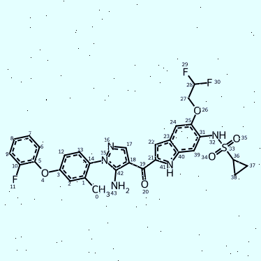 Cc1cc(Oc2ccccc2F)ccc1-n1ncc(C(=O)c2cc3cc(OCC(F)F)c(NS(=O)(=O)C4CC4)cc3[nH]2)c1N